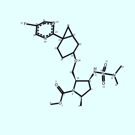 COC(=O)N1[C@H](C)C[C@H](NS(=O)(=O)N(C)C)[C@@H]1COC1CCC2(c3ncc(F)cn3)CC2C1